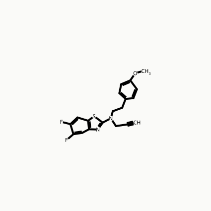 C#CCN(CCc1ccc(OC)cc1)c1nc2cc(F)c(F)cc2s1